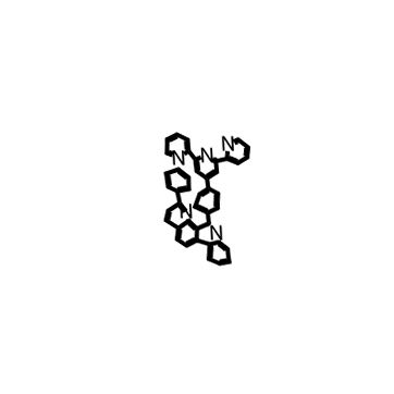 c1ccc(-c2ccc3ccc4c5ccccc5nc(-c5ccc(-c6cc(-c7ccccn7)nc(-c7ccccn7)c6)cc5)c4c3n2)cc1